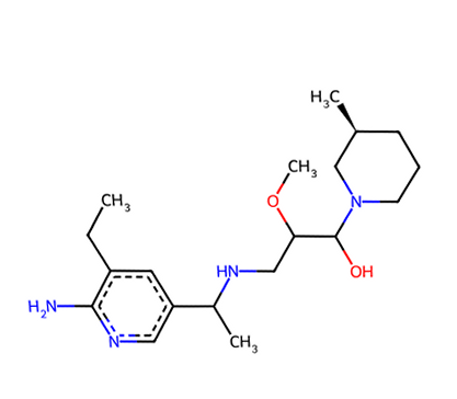 CCc1cc(C(C)NCC(OC)C(O)N2CCC[C@H](C)C2)cnc1N